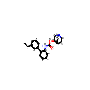 CCc1cccc(-c2ccccc2NC(=O)OC2CN3CCC2CC3)c1